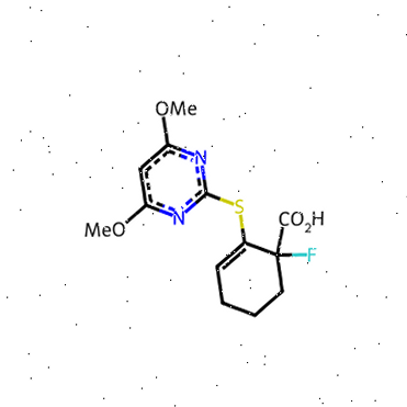 COc1cc(OC)nc(SC2=CCCCC2(F)C(=O)O)n1